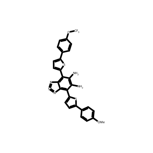 COc1ccc(-c2ccc(-c3c(N)c(N)c(-c4ccc(-c5ccc(OC(F)(F)F)cc5)s4)c4c3N=S=N4)s2)cc1